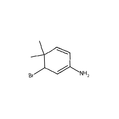 CC1(C)C=CC(N)=CC1Br